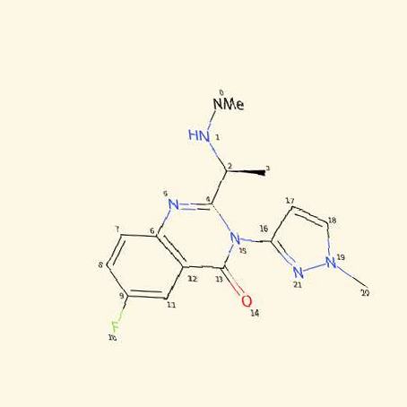 CNN[C@@H](C)c1nc2ccc(F)cc2c(=O)n1-c1ccn(C)n1